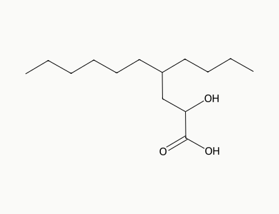 CCCCCCC(CCCC)CC(O)C(=O)O